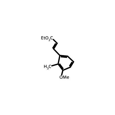 CCOC(=O)/C=C/c1cccc(OC)c1C